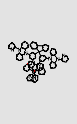 c1ccc(N2c3ccccc3N(c3cc(N4c5ccccc5N(c5ccccn5)c5ccccc54)cc(C4(c5cc(N6c7ccccc7N(c7ccccn7)c7ccccc76)cc(N6c7ccccc7N(c7ccccn7)c7ccccc76)c5)c5ccccc5-c5ccccc54)c3)c3ccccc32)nc1